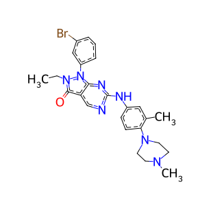 CCn1c(=O)c2cnc(Nc3ccc(N4CCN(C)CC4)c(C)c3)nc2n1-c1cccc(Br)c1